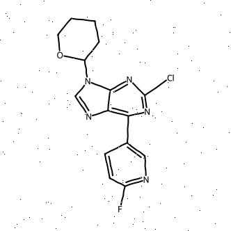 Fc1ccc(-c2nc(Cl)nc3c2ncn3C2CCCCO2)cn1